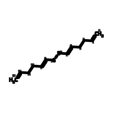 C=CCCC=CSSC=CCCC=C